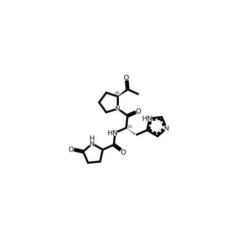 CC(=O)[C@@H]1CCCN1C(=O)[C@H](Cc1cnc[nH]1)NC(=O)C1CCC(=O)N1